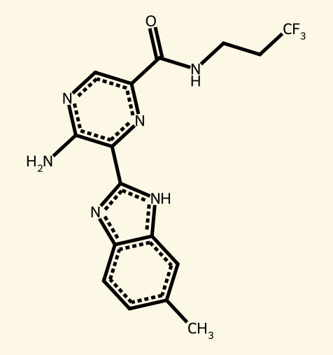 Cc1ccc2nc(-c3nc(C(=O)NCCC(F)(F)F)cnc3N)[nH]c2c1